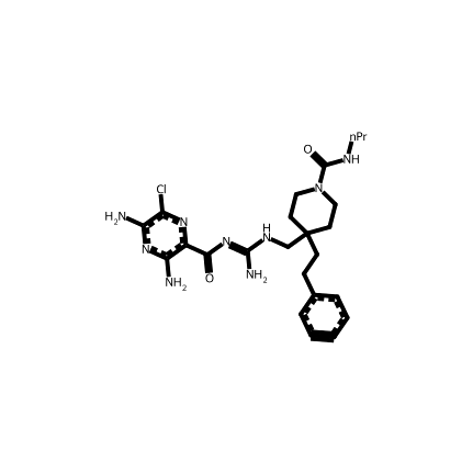 CCCNC(=O)N1CCC(CCc2cc#ccc2)(CN/C(N)=N/C(=O)c2nc(Cl)c(N)nc2N)CC1